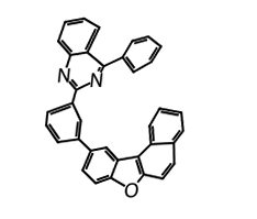 c1ccc(-c2nc(-c3cccc(-c4ccc5oc6ccc7ccccc7c6c5c4)c3)nc3ccccc23)cc1